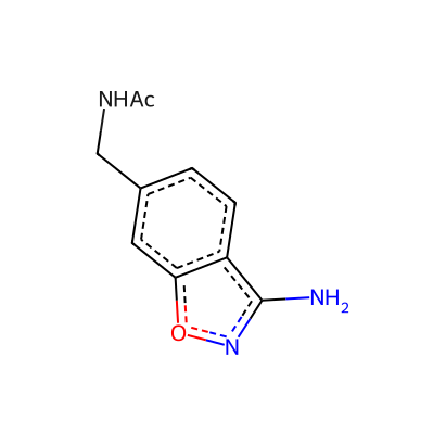 CC(=O)NCc1ccc2c(N)noc2c1